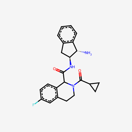 N[C@H]1c2ccccc2C[C@@H]1NC(=O)C1c2ccc(F)cc2CCN1C(=O)C1CC1